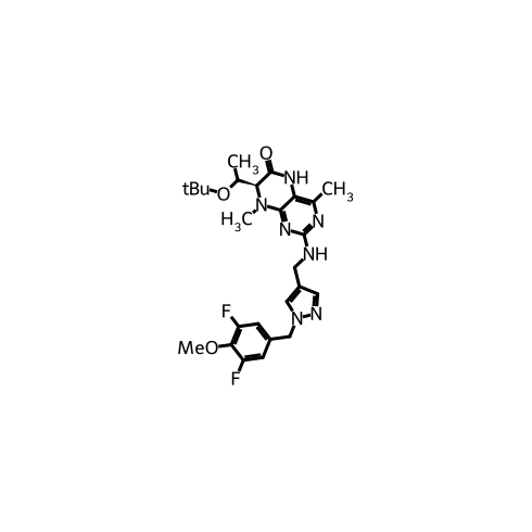 COc1c(F)cc(Cn2cc(CNc3nc(C)c4c(n3)N(C)[C@@H](C(C)OC(C)(C)C)C(=O)N4)cn2)cc1F